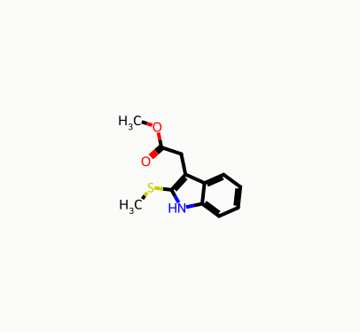 COC(=O)Cc1c(SC)[nH]c2ccccc12